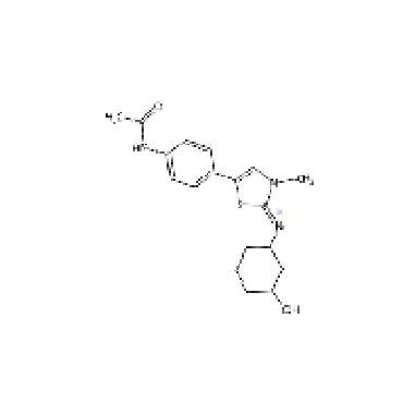 CC(=O)Nc1ccc(-c2cn(C)/c(=N/C3CCCC(O)C3)s2)cc1